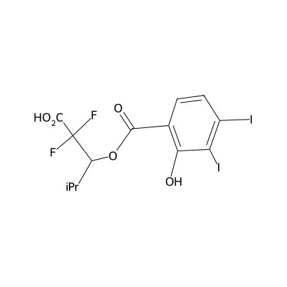 CC(C)C(OC(=O)c1ccc(I)c(I)c1O)C(F)(F)C(=O)O